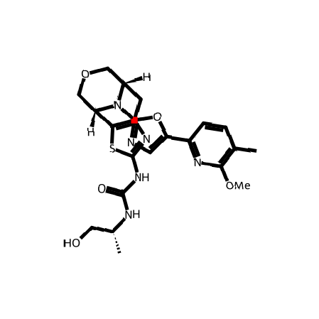 COc1nc(-c2cnc(N3[C@@H]4COC[C@H]3c3sc(NC(=O)N[C@H](C)CO)nc3C4)o2)ccc1C